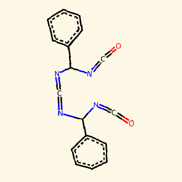 O=C=NC(N=C=NC(N=C=O)c1ccccc1)c1ccccc1